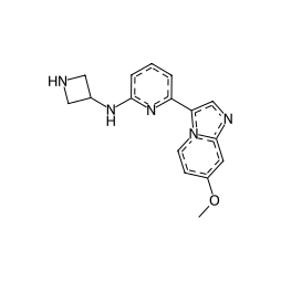 COc1ccn2c(-c3cccc(NC4CNC4)n3)cnc2c1